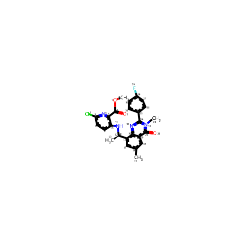 COC(=O)c1nc(Cl)ccc1N[C@H](C)c1cc(C)cc2c(=O)n(C)c(-c3ccc(F)cc3)nc12